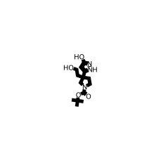 CC(C)(C)OC(=O)N1CCC(CCO)(c2cc(O)n[nH]2)C1